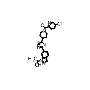 CC(C)n1ncc2ccc(-c3noc(C4CCN(C(=O)c5ccc(Cl)cn5)CC4)n3)cc21